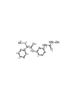 CCCNC(=O)Nc1cccc(OC(=O)N(CC#N)c2ccccc2)c1